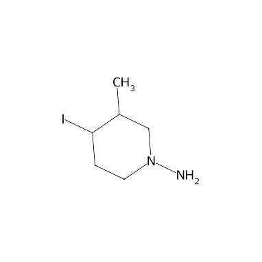 CC1CN(N)CCC1I